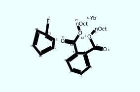 CCCCCCCCOC(=O)c1ccccc1C(=O)OCCCCCCCC.Fc1ccccc1.[Yb]